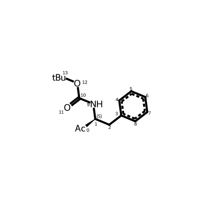 CC(=O)[C@H](Cc1ccccc1)NC(=O)OC(C)(C)C